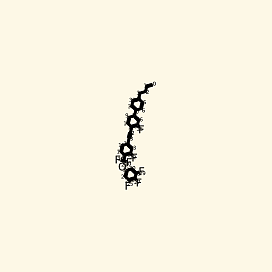 C=CCCc1ccc(-c2ccc(C#Cc3ccc(C(F)(F)Oc4cc(F)c(F)c(F)c4)c(F)c3)c(F)c2)cc1